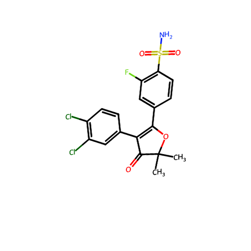 CC1(C)OC(c2ccc(S(N)(=O)=O)c(F)c2)=C(c2ccc(Cl)c(Cl)c2)C1=O